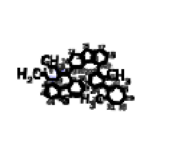 C=C/C=C\C(=C/CC)C(C1=CC2=C(CC1)Cc1cccc(-c3cccc(C4CCCCCC4C)c3C)c12)c1cccc2sc3ccccc3c12